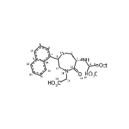 CCCCCCCCC(NC1CSC(c2cccc3ccccc23)CN(CC(=O)O)C1=O)C(=O)O